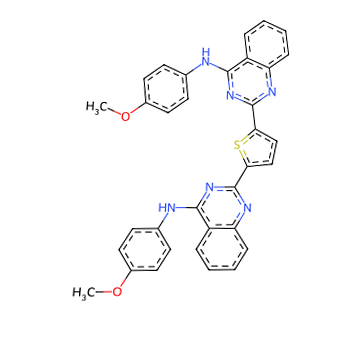 COc1ccc(Nc2nc(-c3ccc(-c4nc(Nc5ccc(OC)cc5)c5ccccc5n4)s3)nc3ccccc23)cc1